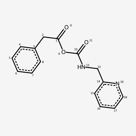 O=C(Cc1ccccc1)OC(=O)NCc1ccccn1